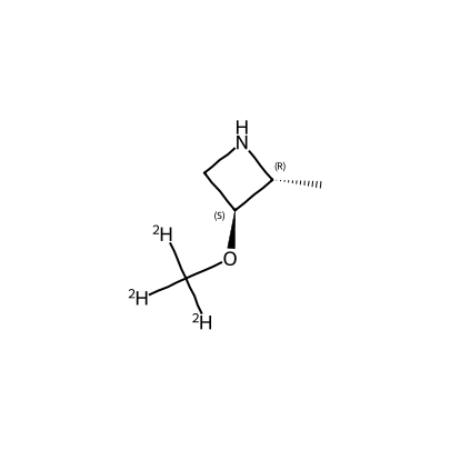 [2H]C([2H])([2H])O[C@H]1CN[C@@H]1C